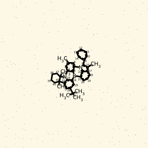 Cc1cc2c3c(c1)-n1c(-c4ccccc4)c(C)c4cccc(c41)B3c1cc(C(C)(C)C)cc3c1N2C1(C)CCCCC31C